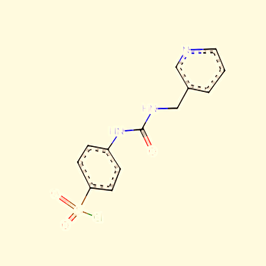 O=C(NCc1cccnc1)Nc1ccc(S(=O)(=O)Cl)cc1